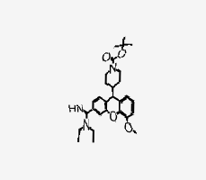 CCN(CC)C(=N)c1ccc2c(c1)Oc1c(OC)cccc1C2C1CCN(C(=O)OC(C)(C)C)CC1